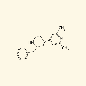 Cc1cc(N2CCNC(Cc3ccccc3)C2)cc(C)n1